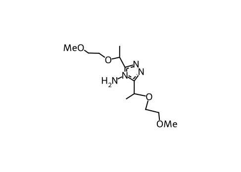 COCCOC(C)c1nnc(C(C)OCCOC)n1N